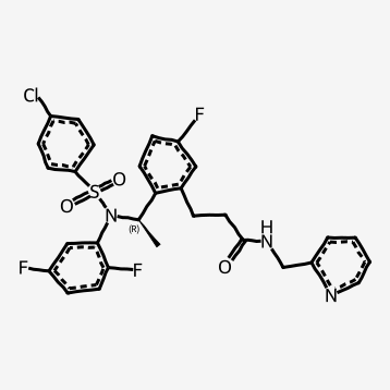 C[C@H](c1ccc(F)cc1CCC(=O)NCc1ccccn1)N(c1cc(F)ccc1F)S(=O)(=O)c1ccc(Cl)cc1